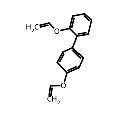 C=COc1ccc(-c2ccccc2OC=C)cc1